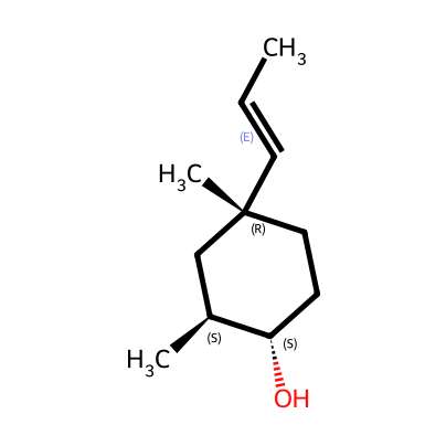 C/C=C/[C@]1(C)CC[C@H](O)[C@@H](C)C1